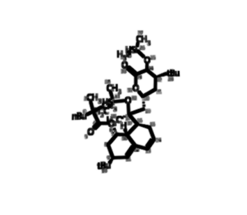 CCCCC(C)(C)C(=O)O[C@H]1C[C@H](C(C)(C)C)C=C2C=CC[C@H]([C@](C)(C[C@H]3C[C@H](C(C)(C)C)C(O[SiH](C)C)C(=O)O3)O[SiH](C)C)[C@H]21